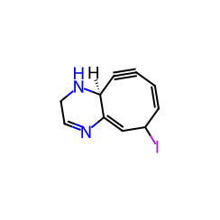 IC1/C=C\C#C[C@@H]2NCC=N/C2=C/1